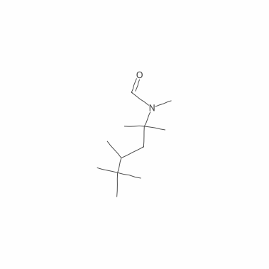 CC(CC(C)(C)N(C)C=O)C(C)(C)C